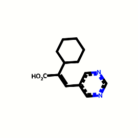 O=C(O)C(=Cc1cncnc1)C1CCCCC1